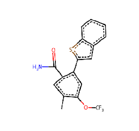 Cc1cc(C(N)=O)c(-c2cc3ccccc3s2)cc1OC(F)(F)F